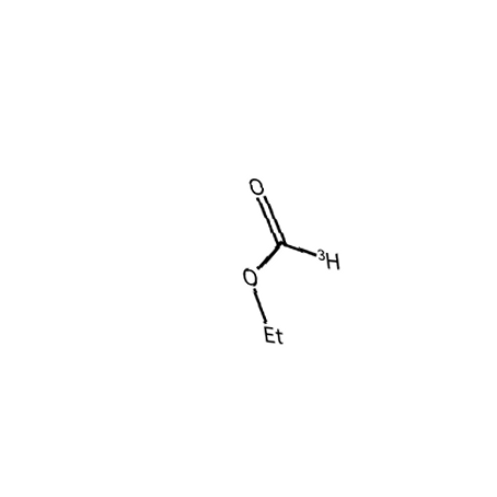 [3H]C(=O)OCC